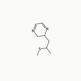 CSC(C)CC1CN=CC=N1